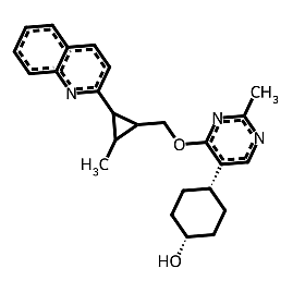 Cc1ncc([C@H]2CC[C@@H](O)CC2)c(OCC2C(C)C2c2ccc3ccccc3n2)n1